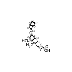 CC1=C(CN2CC(C(=O)O)C2)CCc2cc(OCC3Cc4ccccc43)ccc21.Cl